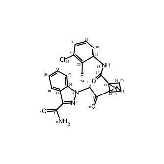 NC(=O)c1nn(CC(=O)N2CC3CC2(C(=O)Nc2cccc(Cl)c2F)C3)c2ccccc12